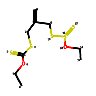 C=C(CSC(=S)OCC)CSS(=S)OCC